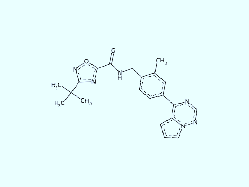 Cc1cc(-c2ncnn3cccc23)ccc1CNC(=O)c1nc(C(C)(C)C)no1